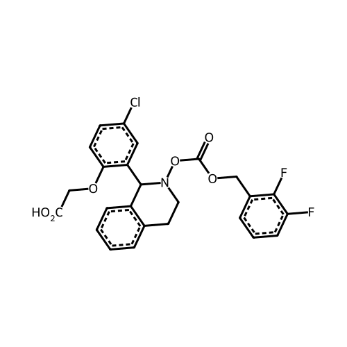 O=C(O)COc1ccc(Cl)cc1C1c2ccccc2CCN1OC(=O)OCc1cccc(F)c1F